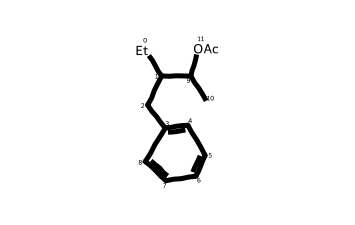 CCC(Cc1ccccc1)C(C)OC(C)=O